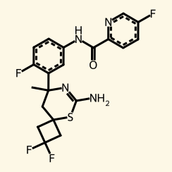 CC1(c2cc(NC(=O)c3ccc(F)cn3)ccc2F)CC2(CC(F)(F)C2)SC(N)=N1